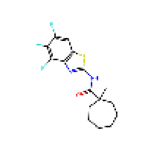 CC1(C(=O)Nc2nc3c(F)c(F)c(F)cc3s2)CCCCCC1